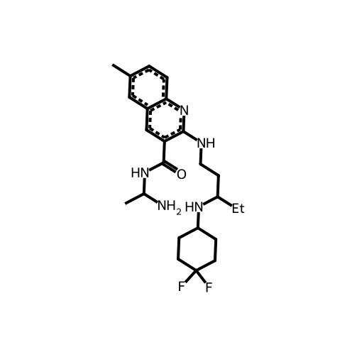 CCC(CCNc1nc2ccc(C)cc2cc1C(=O)NC(C)N)NC1CCC(F)(F)CC1